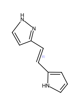 C(=C\c1ccc[nH]1)/c1cc[nH]n1